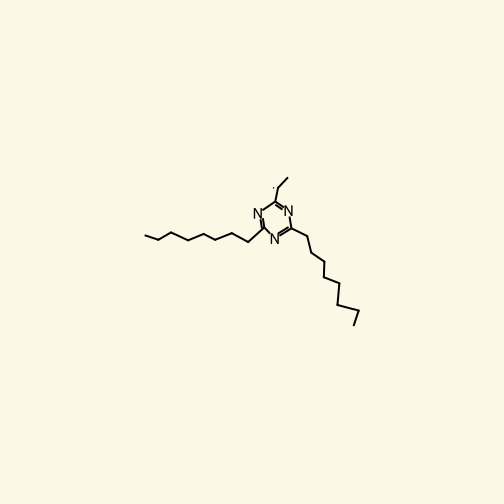 C[CH]c1nc(CCCCCCCC)nc(CCCCCCCC)n1